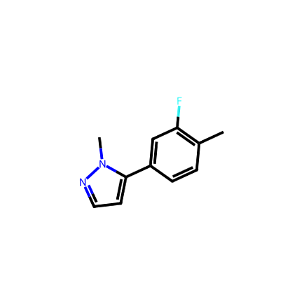 Cc1ccc(-c2ccnn2C)cc1F